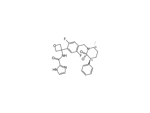 C[C@@H]1CC[C@@H](c2ccccc2)S(=O)(=O)N1Cc1cc(F)c(C2(NC(=O)c3ncc[nH]3)COC2)cc1F